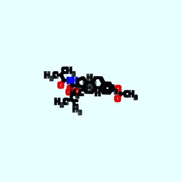 CC(=O)O[C@H]1CC[C@@]2(C)C(=CC[C@@H]3[C@@H]2CC[C@@]2(C)[C@H]3CC[C@]2(OC(=O)C(C)C)C(=O)NC(=O)C(C)C)C1